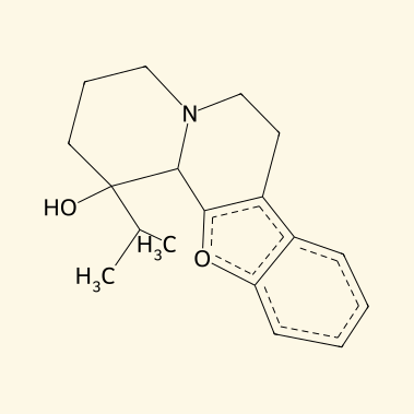 CC(C)C1(O)CCCN2CCc3c(oc4ccccc34)C21